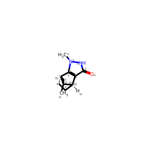 Cn1[nH]c(=O)c2c1[C@]13CC[C@H]2C1(C)C3